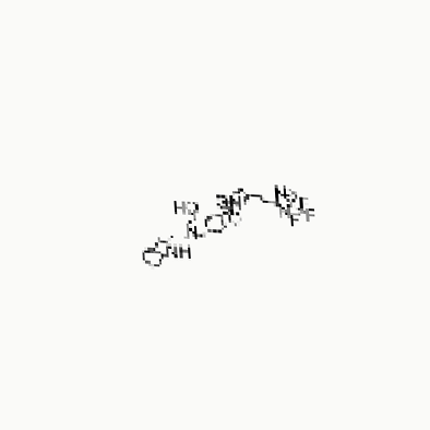 O=S(=O)(c1ccc(CN(CCO)CCc2cc3ccccc3[nH]2)cc1)n1ccc(C=Cc2noc(C(F)(F)F)n2)c1